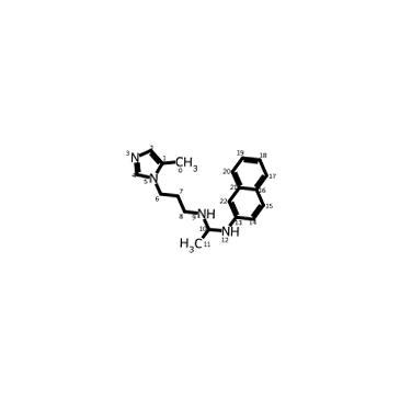 Cc1cncn1CCCNC(C)Nc1ccc2ccccc2c1